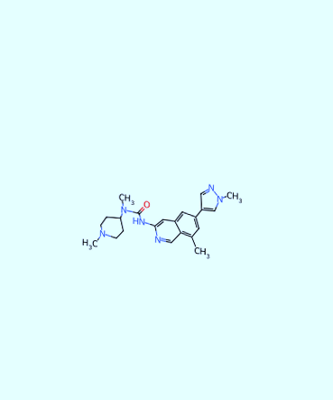 Cc1cc(-c2cnn(C)c2)cc2cc(NC(=O)N(C)C3CCN(C)CC3)ncc12